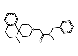 CN(Cc1ccccc1)C(=O)CN1CCC2(CC1)c1ccccc1CCN2C